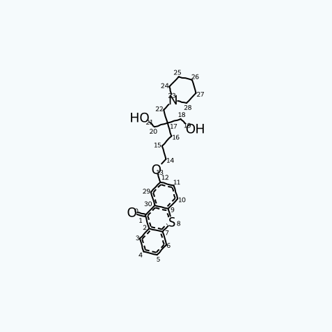 O=c1c2ccccc2sc2ccc(OCCCC(CO)(CO)CN3CCCCC3)cc12